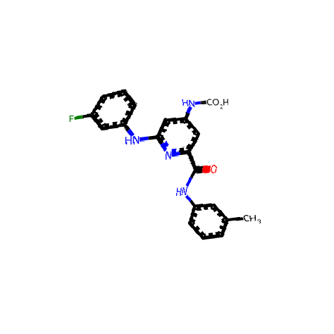 Cc1cccc(NC(=O)c2cc(NC(=O)O)cc(Nc3cccc(F)c3)n2)c1